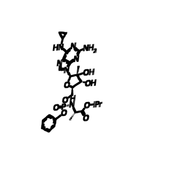 CC(C)OC(=O)[C@H](C)N[P@](=O)(OC[C@H]1O[C@@H](n2cnc3c(NC4CC4)nc(N)nc32)[C@](C)(O)[C@@H]1O)Oc1ccccc1